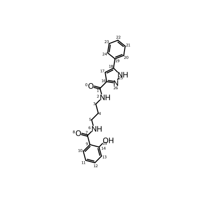 O=C(NCCCNC(=O)c1ccccc1O)c1cc(-c2ccccc2)[nH]n1